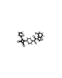 O=C(C(=O)N1CCN(c2c(-c3ccco3)c(=O)c2=O)CC1)c1c[nH]c2cccc(F)c12